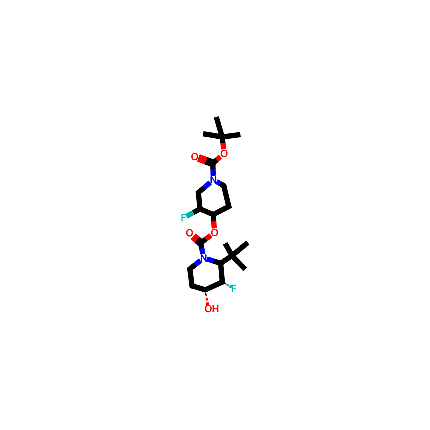 CC(C)(C)OC(=O)N1CCC(OC(=O)N2CC[C@@H](O)[C@@H](F)C2C(C)(C)C)C(F)C1